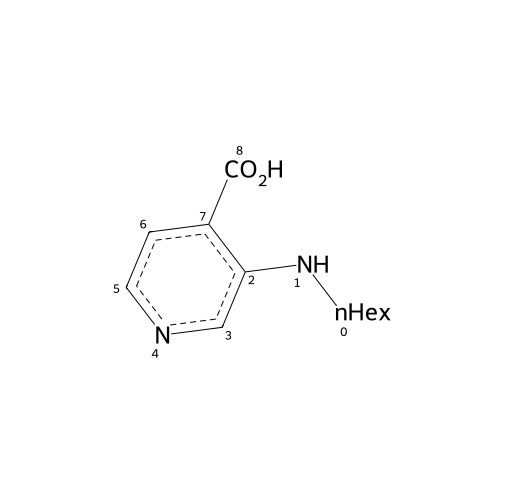 CCCCCCNc1cnccc1C(=O)O